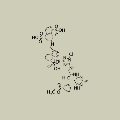 C=CS(=O)(=O)c1ccc(Nc2nc(F)nc(NC(C)CNc3nc(Cl)nc(Nc4ccc(N=Nc5cc(S(=O)(=O)O)c6cccc(S(=O)(=O)O)c6c5)c5cccc(S(=O)(=O)O)c45)n3)n2)cc1